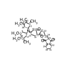 Cc1cc(N(c2cc(C)c(C)c(C)c2)c2ccc3c(c2)oc2cc(C=C4C(=O)c5ccccc5C4=O)oc23)cc(C)c1C